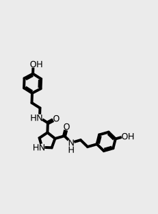 O=C(NCCc1ccc(O)cc1)C1CNCC1C(=O)NCCc1ccc(O)cc1